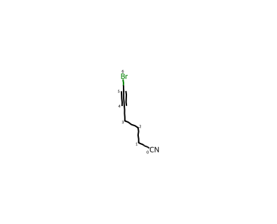 N#CCCCC#CBr